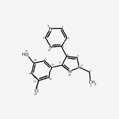 CCn1cc(-c2ccncn2)c(-c2cc(O)cc(Cl)c2)n1